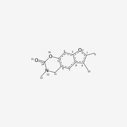 Cc1oc2cc3c(cc2c1C)CN(C)C(=O)O3